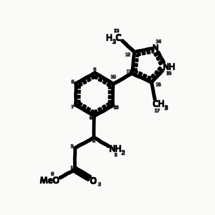 COC(=O)CC(N)c1cccc(-c2c(C)n[nH]c2C)c1